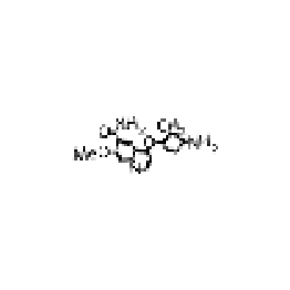 COc1cc2nccc(Oc3ccc(N)cc3C)c2cc1C(N)=O